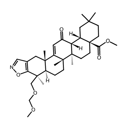 COCOC[C@@]1(C)c2oncc2C[C@]2(C)C3=CC(=O)[C@@H]4[C@@H]5CC(C)(C)CC[C@]5(C(=O)OC)CC[C@@]4(C)[C@]3(C)CC[C@@H]12